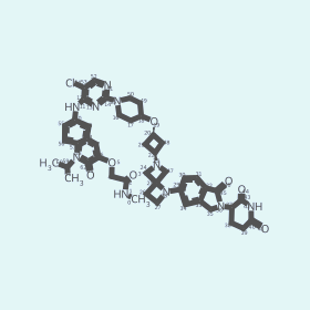 CNC(=O)COc1cc2cc(Nc3nc(N4CCC(O[C@H]5C[C@H](N6CC7(CCN7c7ccc8c(c7)CN(C7CCC(=O)NC7=O)C8=O)C6)C5)CC4)ncc3Cl)ccc2n(C(C)C)c1=O